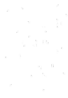 CCCCc1c(Cl)c(O)c(C(=O)NCC(=O)O)c2ncnn12.Cl